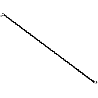 C=CC=CC=CC=CC=CC=CC=CC=CC=CC=CCCCCCCCCCCCCCCCCCCCCCCCCCCCCCCCCCCCCCCCCCCCCCCCCCCCCCCCCCCCCCCCCCCCCCCCCCCCCCCCC